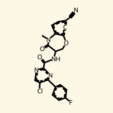 CN1C(=O)C(NC(=O)c2ncc(Cl)c(-c3ccc(F)cc3)n2)COc2cc(C#N)ccc21